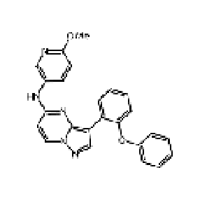 COc1ccc(Nc2ccn3ncc(-c4ccccc4Oc4ccccc4)c3n2)cn1